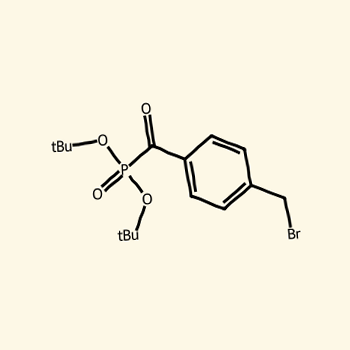 CC(C)(C)OP(=O)(OC(C)(C)C)C(=O)c1ccc(CBr)cc1